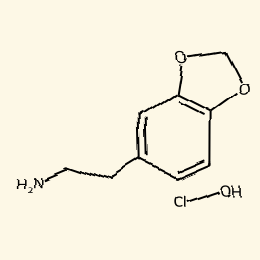 NCCc1ccc2c(c1)OCO2.OCl